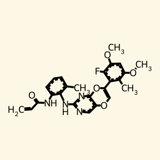 C=CC(=O)Nc1cccc(C)c1Nc1ncc2c(n1)OC(c1c(C)c(OC)cc(OC)c1F)=CO2